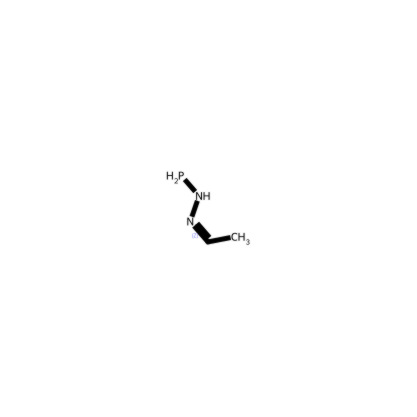 C/C=N\NP